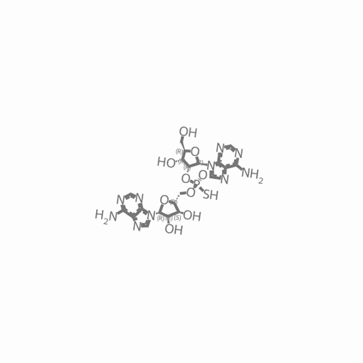 Nc1ncnc2c1ncn2[C@@H]1O[C@H](COP(=O)(S)O[C@@H]2[C@H](O)[C@@H](CO)O[C@H]2n2cnc3c(N)ncnc32)[C@@H](O)[C@H]1O